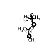 CCCC(C)(OCC1CCC[C@H](OCc2nc(-c3ccc(C)cc3)oc2CC)C1)C(=O)O